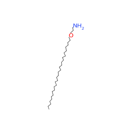 CCCCCCCCCCCCCCCCCCCCCCCCCCCCCCOCCCN